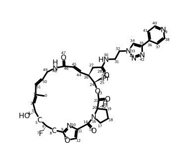 CC1=C\[C@@H](O)C[C@@H](F)Cc2nc(co2)C(=O)N2CCC[C@@H]2C(=O)O[C@H](C(C)C)[C@H](CC(=O)NCCn2cc(-c3ccncc3)nn2)/C=C/C(=O)NC\C=C\1